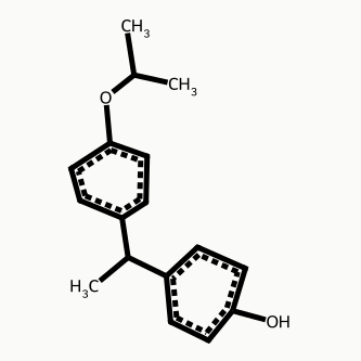 CC(C)Oc1ccc(C(C)c2ccc(O)cc2)cc1